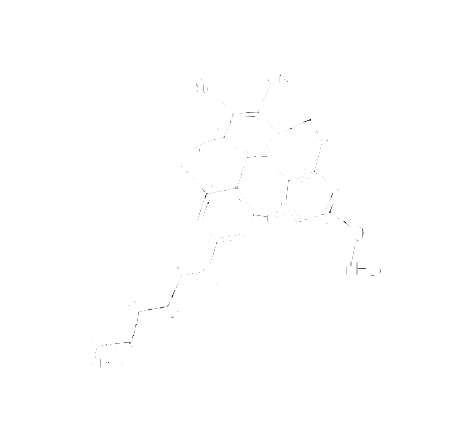 CCCCCCOc1ccc2c(c1)CCc1c(C#N)c(C#N)c(C)c(-c3c(C)cc(OCCCCCC=O)cc3CCC)c1-2